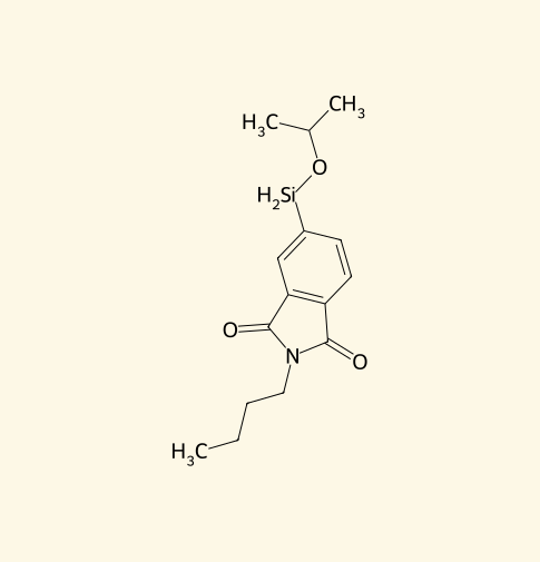 CCCCN1C(=O)c2ccc([SiH2]OC(C)C)cc2C1=O